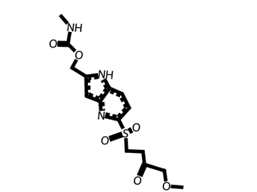 CNC(=O)OCc1cc2nc(S(=O)(=O)CCC(=O)COC)ccc2[nH]1